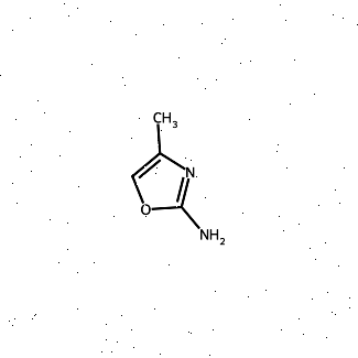 Cc1coc(N)n1